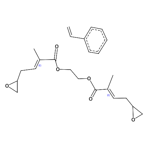 C/C(=C\CC1CO1)C(=O)OCCOC(=O)/C(C)=C/CC1CO1.C=Cc1ccccc1